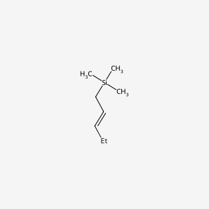 CC/C=C/C[Si](C)(C)C